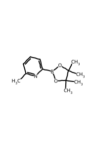 Cc1cccc(B2OC(C)(C)C(C)(C)O2)n1